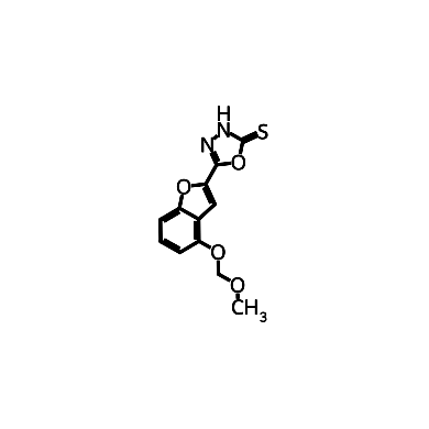 COCOc1cccc2oc(-c3n[nH]c(=S)o3)cc12